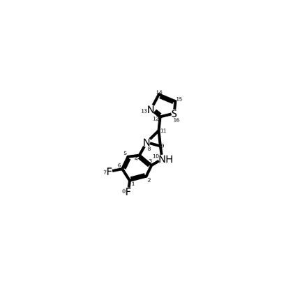 Fc1cc2c(cc1F)N1C(N2)C1c1nccs1